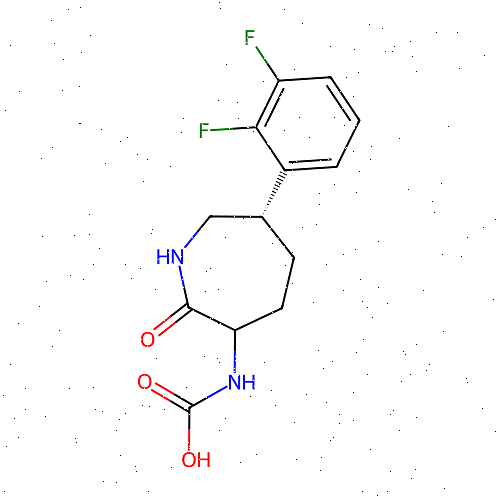 O=C(O)NC1CC[C@@H](c2cccc(F)c2F)CNC1=O